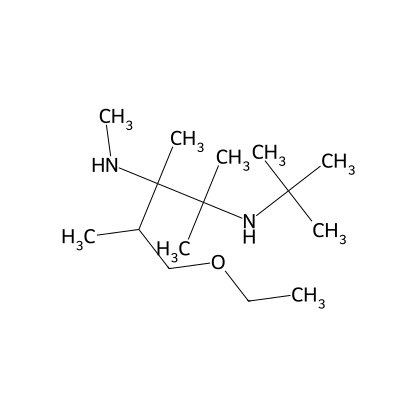 CCOCC(C)C(C)(NC)C(C)(C)NC(C)(C)C